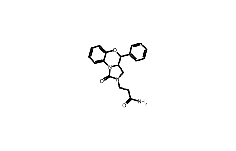 NC(=O)CCN1CC2C(c3ccccc3)Oc3ccccc3N2C1=O